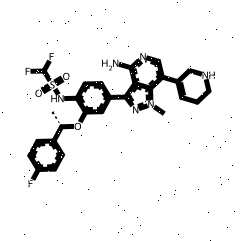 C[C@H](Oc1cc(-c2nn(C)c3c(C4=CCCNC4)cnc(N)c23)ccc1NS(=O)(=O)C(F)F)c1ccc(F)cc1